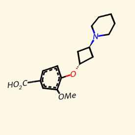 COc1cc(C(=O)O)ccc1O[C@H]1C[C@H](N2CCCCC2)C1